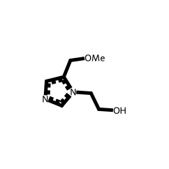 COCc1cncn1CCO